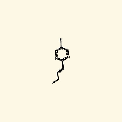 CCC=Cc1ncc(F)cn1